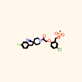 CS(=O)(=O)OCc1cc(Cl)ccc1OCC(=O)N1CCC(C#N)(Cc2ccc(F)cc2)CC1